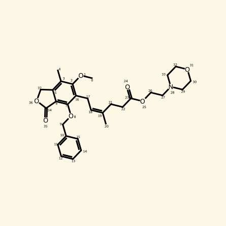 COc1c(C)c2c(c(OCc3ccccc3)c1CC=C(C)CCC(=O)OCCN1CCOCC1)C(=O)OC2